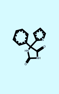 O=C1NC(=O)C(c2ccccc2)(c2cccs2)N1